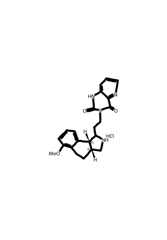 COc1cccc2c1CC[C@H]1CNC(CCn3c(=O)[nH]c4cccnc4c3=O)[C@@H]21.Cl